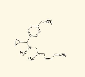 C=C/C=C\C=C(/C)CN(C)C(c1ccc(C=C)cc1)C1CC1